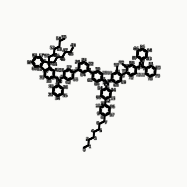 CCCCCCCCc1ccc(-c2ccc(N(c3ccc(-c4cccc(-c5ccc(N(c6ccccc6)c6ccc7c(c6)C(CCCCCC)(CCCCCC)c6ccccc6-7)cc5)c4)cc3)c3ccc(-c4ccc(N(c5ccccc5)c5ccccc5)cc4C)c(C)c3)cc2)cc1